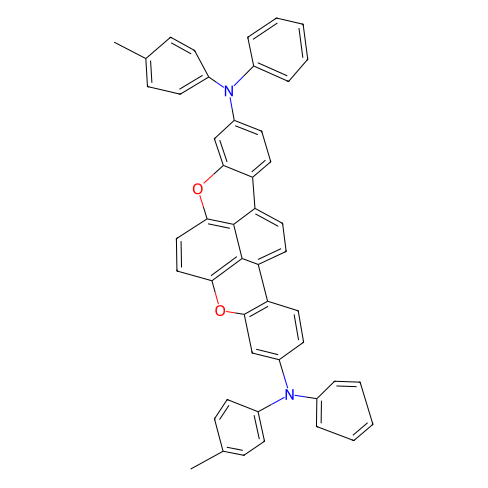 Cc1ccc(N(c2ccccc2)c2ccc3c(c2)Oc2ccc4c5c(ccc-3c25)-c2ccc(N(c3ccccc3)c3ccc(C)cc3)cc2O4)cc1